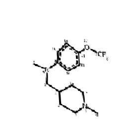 CN1CCC(CN(C)c2ccc(OC(F)(F)F)cc2)CC1